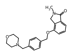 CN1Cc2c(OCc3ccc(CN4CCOCC4)cc3)cccc2C1=O